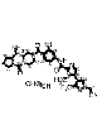 CCc1cc(NC(=O)c2ncc(-c3cn(CC#N)nc3C(F)(F)F)n2C)ccc1C(=O)N1CCN(C(=O)N2CCCC2CN)CC1.O=CO